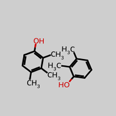 Cc1ccc(O)c(C)c1C.Cc1cccc(O)c1C